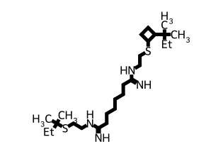 CCC(C)(C)SCCNC(=N)CCCCCCC(=N)NCCSC1CCC1C(C)(C)CC